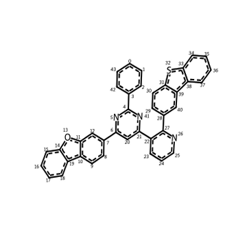 c1ccc(-c2nc(-c3ccc4c(c3)oc3ccccc34)cc(-c3cccnc3-c3ccc4sc5ccccc5c4c3)n2)cc1